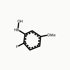 COc1ccc(F)c(BO)c1